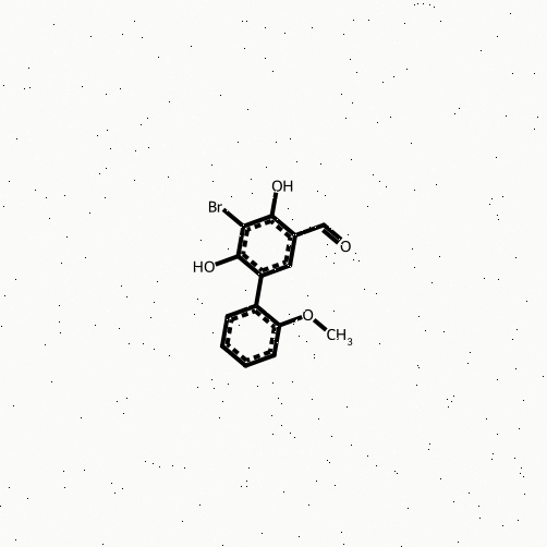 COc1ccccc1-c1cc(C=O)c(O)c(Br)c1O